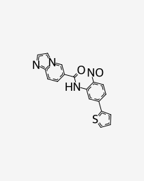 O=Nc1ccc(-c2cccs2)cc1NC(=O)c1ccc2nccn2c1